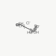 C[P+](C)(CCCCCCCCCCCC(=O)N[C@H](CO)[C@H](O)c1ccc([N+](=O)[O-])cc1)c1ccccc1.[Cl-]